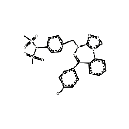 CS(=O)(=O)N(c1ccc(CN2N=C(c3ccc(Cl)cc3)c3ccccc3-n3cnnc32)cc1)S(C)(=O)=O